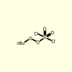 CCCCO[O][V](=[O])(=[O])([Cl])[Cl]